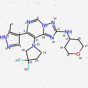 Cc1[nH]ncc1-c1ncn2nc(NC3CCOCC3)nc2c1N1CCC(F)(F)C1